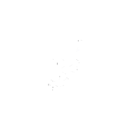 CCCCCC(F)/C=C/CNC1(c2ccc(-c3nc4ccn5c(=O)[nH]nc5c4cc3-c3ccccc3)cc2)CCC1.Cl